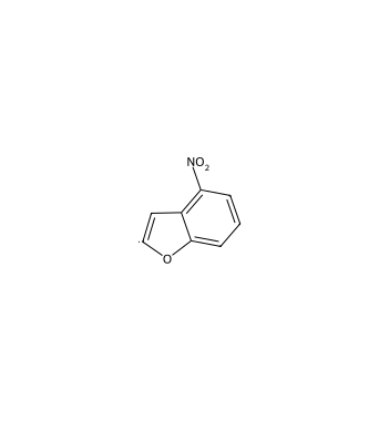 O=[N+]([O-])c1cccc2o[c]cc12